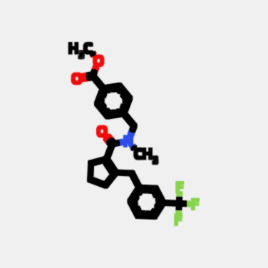 COC(=O)c1ccc(CN(C)C(=O)C2=C(Cc3cccc(C(F)(F)F)c3)CCC2)cc1